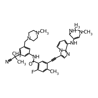 Cc1cc(F)c(C(=O)Nc2cc(CN3CCN(C)CC3)cc(C(C)(C)C#N)c2)cc1C#Cc1cnc2c(N/C(C=N)=C/N(C)C)cccn12